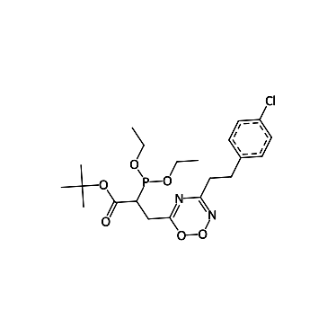 CCOP(OCC)C(CC1=NC(CCc2ccc(Cl)cc2)=NOO1)C(=O)OC(C)(C)C